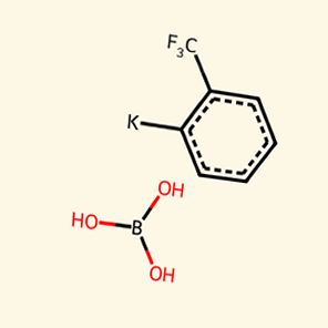 FC(F)(F)c1cccc[c]1[K].OB(O)O